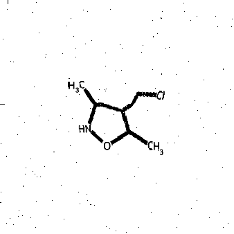 CC1NOC(C)C1CCl